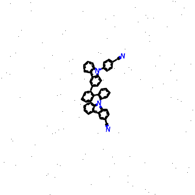 N#Cc1ccc(-n2c3ccccc3c3cc(-c4ccccc4-c4ccccc4-n4c5ccccc5c5cc(C#N)ccc54)ccc32)cc1